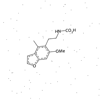 COc1cc2occc2c(C)c1CCNC(=O)O